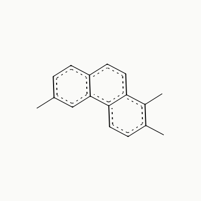 Cc1ccc2ccc3c(C)c(C)ccc3c2c1